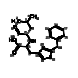 CC(C)C[C@@H](C=O)N[C@@H](Cc1csc(Cc2ccccc2)n1)C(=O)O